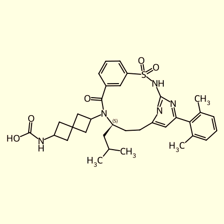 Cc1cccc(C)c1-c1cc2nc(n1)NS(=O)(=O)c1cccc(c1)C(=O)N(C1CC3(CC(NC(=O)O)C3)C1)[C@H](CC(C)C)CC2